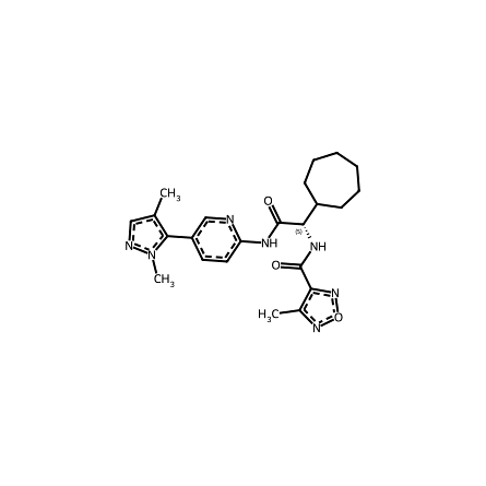 Cc1cnn(C)c1-c1ccc(NC(=O)[C@@H](NC(=O)c2nonc2C)C2CCCCCC2)nc1